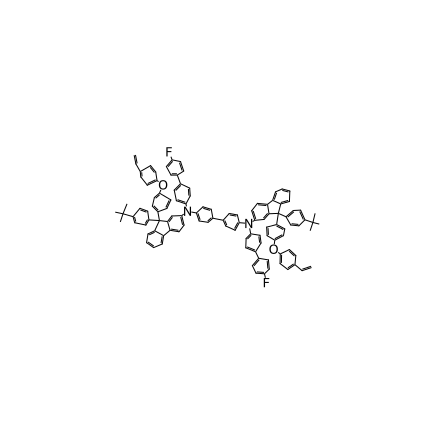 C=Cc1ccc(Oc2ccc(C3(c4ccc(C(C)(C)C)cc4)c4ccccc4-c4ccc(N(c5ccc(-c6ccc(F)cc6)cc5)c5ccc(-c6ccc(N(c7ccc(-c8ccc(F)cc8)cc7)c7ccc8c(c7)C(c7ccc(Oc9ccc(C=C)cc9)cc7)(c7ccc(C(C)(C)C)cc7)c7ccccc7-8)cc6)cc5)cc43)cc2)cc1